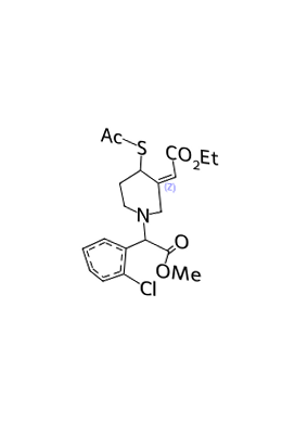 CCOC(=O)/C=C1/CN(C(C(=O)OC)c2ccccc2Cl)CCC1SC(C)=O